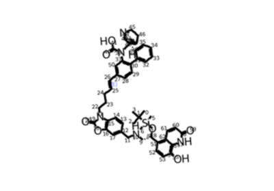 CC(C)(C)[Si](C)(C)O[C@@H](CNCc1ccc2c(c1)oc(=O)n2CCC/C=C/c1ccc(-c2ccccc2)c(N(C(=O)O)[C@H]2CN3CCC2CC3)c1)c1ccc(O)c2[nH]c(=O)ccc12